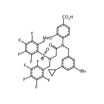 COc1cc(C(=O)O)ccc1N(Cc1cc(C2CC2)cc(C(C)(C)C)c1)C(=O)CN(Cc1c(F)c(F)c(F)c(F)c1F)S(=O)(=O)c1c(F)c(F)c(F)c(F)c1F